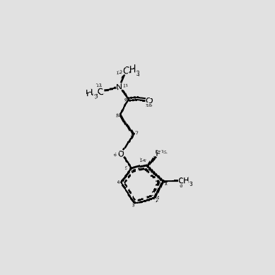 Cc1[c]ccc(OCCC(=O)N(C)C)c1F